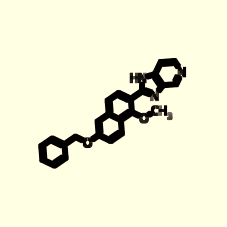 COc1c(-c2nc3cnccc3[nH]2)ccc2cc(OCc3ccccc3)ccc12